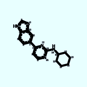 c1cc(-c2ccc3[nH]cnc3c2)nc(NC2CCCCC2)n1